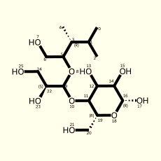 CC(C)[C@@H](C)C(CO)OC(OC1C(O)C(O)[C@H](O)O[C@@H]1CO)[C@@H](O)CO